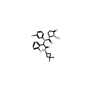 CN1C(=O)CC[C@H]1C(=O)N(c1cccc(F)c1)C(C(=O)NC1CC(F)(F)C1)c1ccccc1Cl